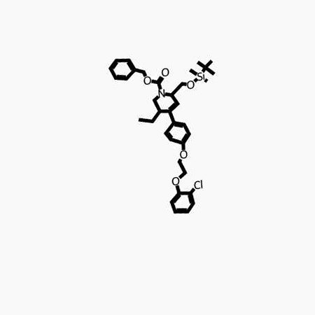 CCC1CN(C(=O)OCc2ccccc2)C(CO[Si](C)(C)C(C)(C)C)C=C1c1ccc(OCCOc2ccccc2Cl)cc1